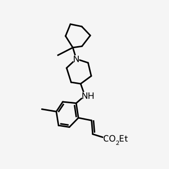 CCOC(=O)/C=C/c1ccc(C)cc1NC1CCN(C2(C)CCCCC2)CC1